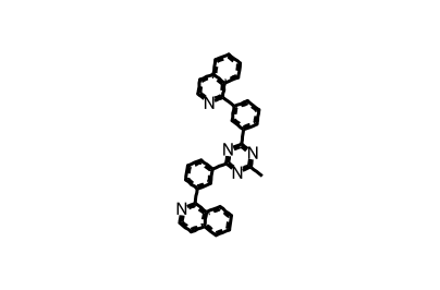 Cc1nc(-c2cccc(-c3nccc4ccccc34)c2)nc(-c2cccc(-c3nccc4ccccc34)c2)n1